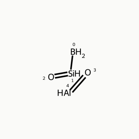 B[SiH]=O.[O]=[AlH]